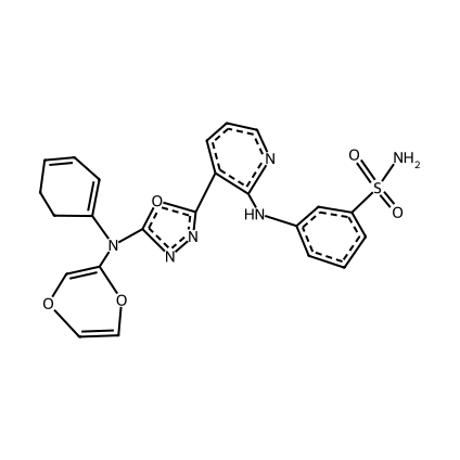 NS(=O)(=O)c1cccc(Nc2ncccc2-c2nnc(N(C3=CC=CCC3)C3=COC=CO3)o2)c1